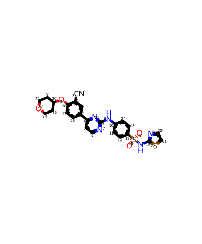 N#Cc1cc(-c2ccnc(Nc3ccc(S(=O)(=O)Nc4nccs4)cc3)n2)ccc1OC1CCOCC1